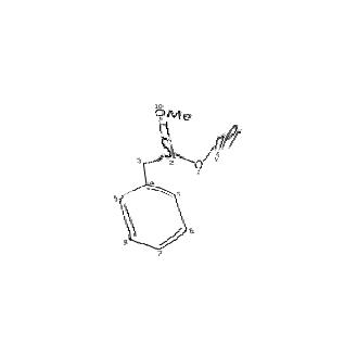 CCCO[SiH](Cc1ccccc1)OC